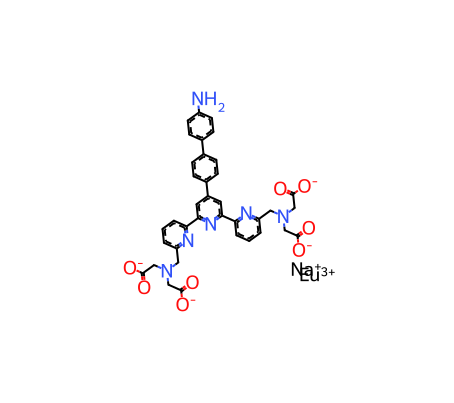 Nc1ccc(-c2ccc(-c3cc(-c4cccc(CN(CC(=O)[O-])CC(=O)[O-])n4)nc(-c4cccc(CN(CC(=O)[O-])CC(=O)[O-])n4)c3)cc2)cc1.[Eu+3].[Na+]